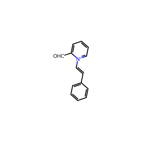 O=Cc1cccc[n+]1C=Cc1ccccc1